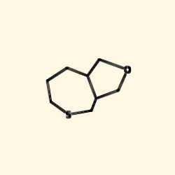 C1CSCC2COCC2C1